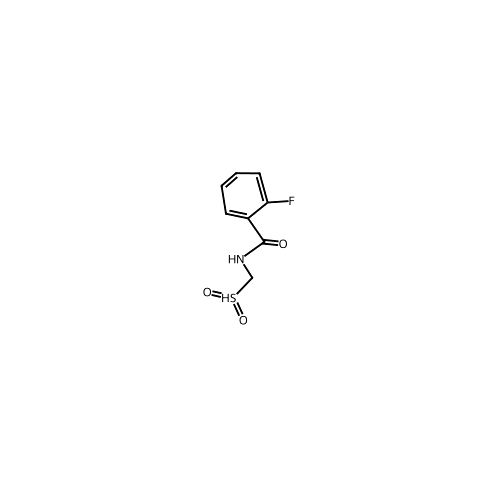 O=C(NC[SH](=O)=O)c1ccccc1F